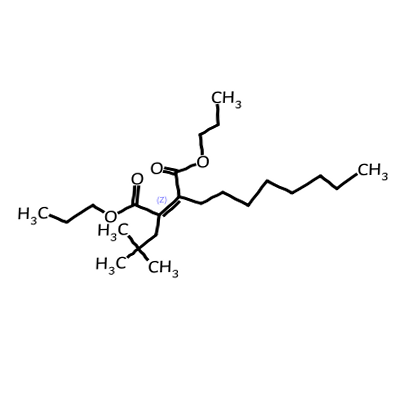 CCCCCCCC/C(C(=O)OCCC)=C(\CC(C)(C)C)C(=O)OCCC